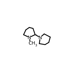 CN1CCCC[C]1N1CCCCC1